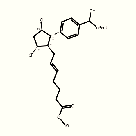 CCCCCC(O)c1ccc([C@@H]2[C@@H](CC=CCCCC(=O)OC(C)C)[C@H](Cl)C[C@H]2Cl)cc1